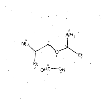 CCCCC(CC)COC(N)CC.O=CO